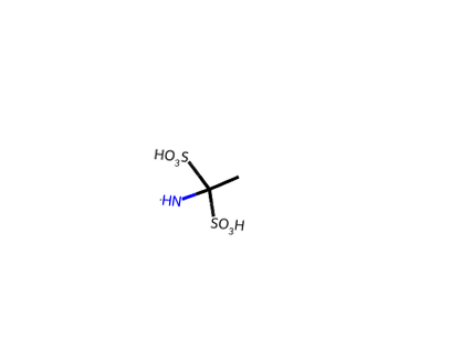 CC([NH])(S(=O)(=O)O)S(=O)(=O)O